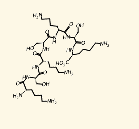 NCCCC[C@H](NC(=O)[C@H](CO)NC(=O)[C@H](CCCCN)NC(=O)[C@H](CO)NC(=O)[C@H](CCCCN)NC(=O)[C@H](CO)NC(=O)[C@@H](N)CCCCN)C(=O)O